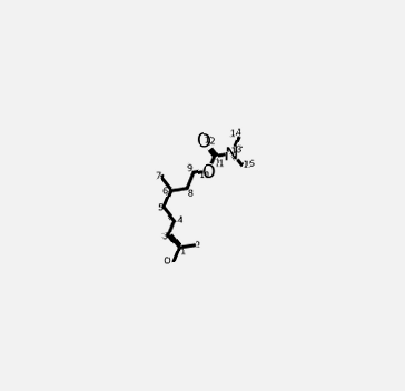 CC(C)=CCCC(C)CCOC(=O)N(C)C